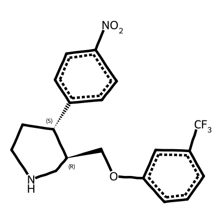 O=[N+]([O-])c1ccc([C@H]2CCNC[C@@H]2COc2cccc(C(F)(F)F)c2)cc1